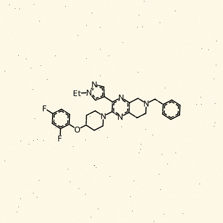 CCn1cc(-c2nc3c(nc2N2CCC(Oc4ccc(F)cc4F)CC2)CCN(Cc2ccccc2)C3)cn1